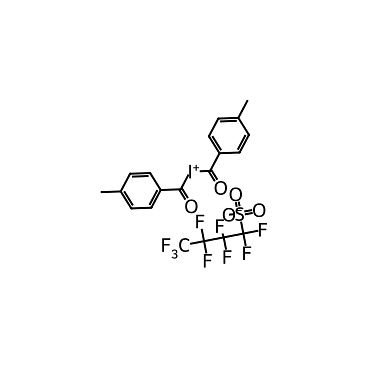 Cc1ccc(C(=O)[I+]C(=O)c2ccc(C)cc2)cc1.O=S(=O)([O-])C(F)(F)C(F)(F)C(F)(F)C(F)(F)F